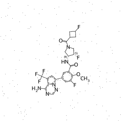 COc1c(F)cc(-c2cc(C(F)(F)F)c3c(N)ncnn23)cc1C(=O)N[C@@H]1CN(C(=O)C2CC(F)C2)C[C@@H]1F